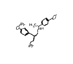 CC(C)CCC(CCNC(C)c1ccc(Cl)cc1)c1ccc(OC(C)C)cc1